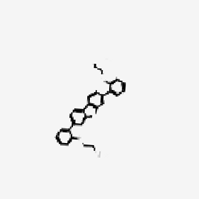 CCCCCCCCCCCCNc1ccccc1-c1ccc2c(c1)sc1cc(-c3ccccc3NCCCCCCCCCCCC)ccc12